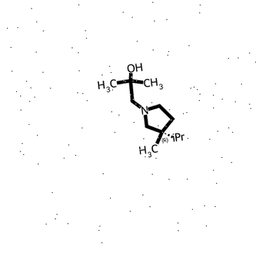 CC(C)[C@@]1(C)CCN(CC(C)(C)O)C1